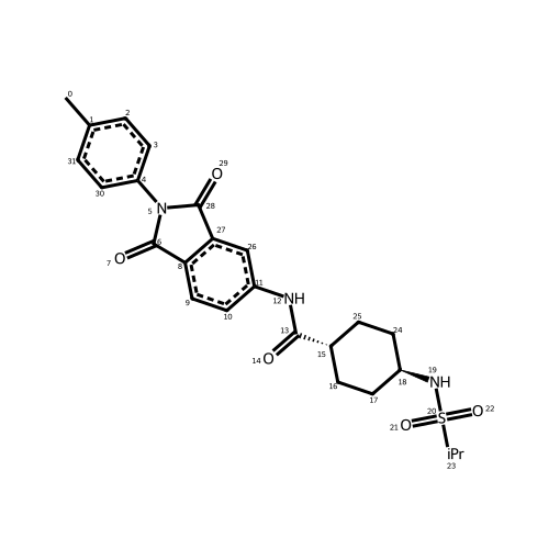 Cc1ccc(N2C(=O)c3ccc(NC(=O)[C@H]4CC[C@H](NS(=O)(=O)C(C)C)CC4)cc3C2=O)cc1